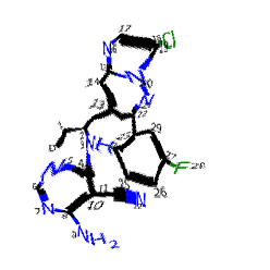 CC[C@H](Nc1ncnc(N)c1C#N)c1cc2ncc(Cl)n2nc1-c1cccc(F)c1